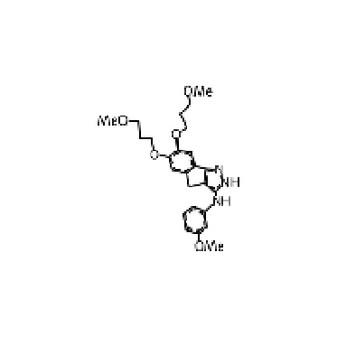 COCCCOc1cc2c(cc1OCCCOC)-c1n[nH]c(Nc3cccc(OC)c3)c1C2